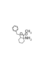 COC(=O)C1(N)CCCCC1CCc1ccccc1